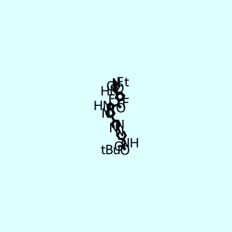 CCN(C)S(=O)(=O)Nc1ccc(F)c(C(=O)c2c[nH]c3ncc(-c4cnc(N5CCC(NC(=O)OC(C)(C)C)CC5)nc4)cc23)c1F